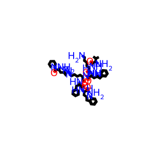 CC(C)C(N)C(=O)NC(CCCCN)C(=O)NC(Cc1cc2ccccc2[nH]1)C(=O)NC(CCCCn1cc(CC(N)C(=O)N2CCCCC2)nn1)C(=O)NC(Cc1ccccc1)C(=O)NC(Cc1cc2ccccc2[nH]1)C(N)=O